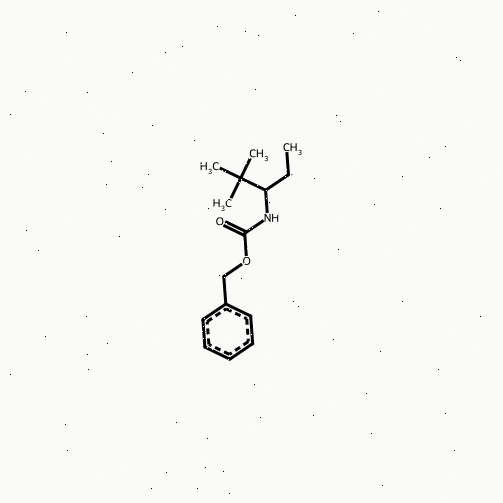 C[CH]C(NC(=O)OCc1ccccc1)C(C)(C)C